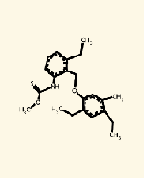 CCc1cc(CC)c(OCc2c(CC)cccc2NC(=S)OC)cc1C